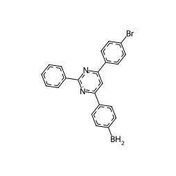 Bc1ccc(-c2cc(-c3ccc(Br)cc3)nc(-c3ccccc3)n2)cc1